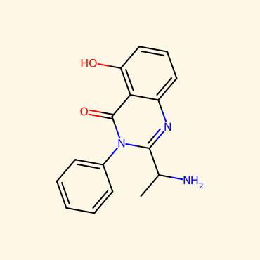 CC(N)c1nc2cccc(O)c2c(=O)n1-c1ccccc1